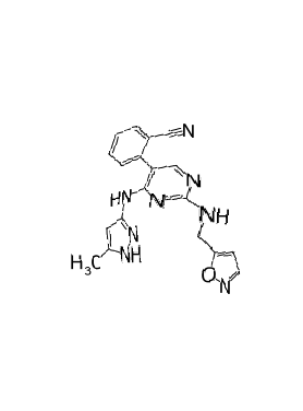 Cc1cc(Nc2nc(NCc3ccno3)ncc2-c2ccccc2C#N)n[nH]1